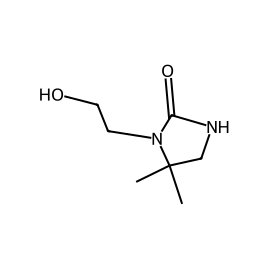 CC1(C)CNC(=O)N1CCO